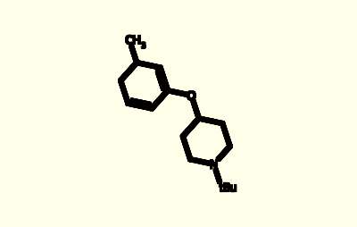 CC1C=C(OC2CCN(C(C)(C)C)CC2)C=CC1